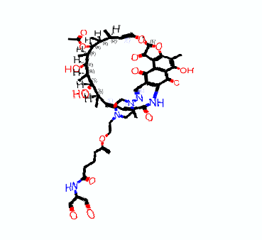 C=C(CCCC(=O)NC(C=O)C=O)OCCN1CCN(/N=C/C2=C3NC(=O)/C(C)=C\C=C\[C@H](C)[C@H](O)[C@@H](C)[C@@H](O)[C@@H](C)[C@H](OC(C)=O)[C@H](C)[C@@H](C)/C=C/O[C@@]4(C)Oc5c(C)c(O)c(c(c5C4=O)C2=O)C3=O)CC1